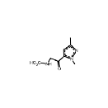 Cc1cc(C(=O)CNC(=O)O)n(C)n1